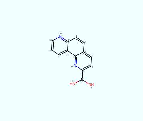 OB(O)c1ccc2ccc3ncccc3c2n1